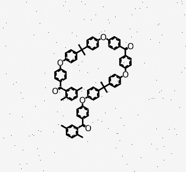 Cc1ccc(C)c(C(=O)c2ccc(Oc3ccc(C(C)(C)c4ccc(Oc5ccc(C(=O)c6ccc(Oc7ccc(C(C)(C)c8ccc(Oc9ccc(C(=O)c%10cc(C)ccc%10C)cc9)cc8)cc7)cc6)cc5)cc4)cc3)cc2)c1